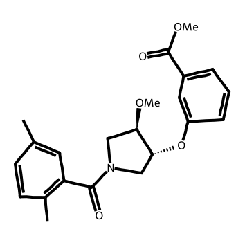 COC(=O)c1cccc(O[C@@H]2CN(C(=O)c3cc(C)ccc3C)C[C@H]2OC)c1